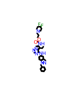 CCc1c(NC(=O)OCCCN2CCC(F)(F)CC2)cn2ncnc(Nc3ccc4c(cnn4Cc4ccccc4)c3)c12